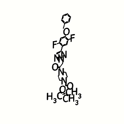 CC(C)(C)OC(=O)N1CCN(C(=O)Cn2ncc(-c3cc(F)c(OCc4ccccc4)cc3F)n2)CC1